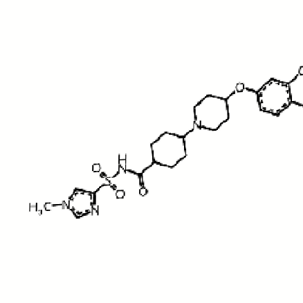 Cn1cnc(S(=O)(=O)NC(=O)C2CCC(N3CCC(Oc4ccc(Cl)c(Cl)c4)CC3)CC2)c1